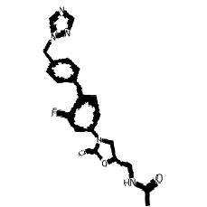 CC(=O)NCC1CN(c2ccc(-c3ccc(Cn4cncn4)cc3)c(F)c2)C(=O)O1